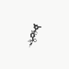 Cc1cc(C)cc(-c2nc3ccc(C(=O)NCCF)cc3o2)c1